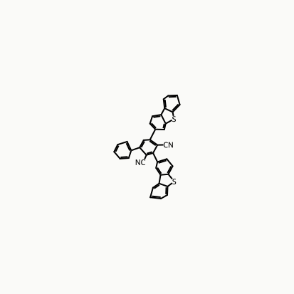 N#Cc1c(-c2ccccc2)cc(-c2ccc3c(c2)sc2ccccc23)c(C#N)c1-c1ccc2sc3ccccc3c2c1